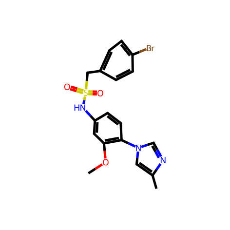 COc1cc(NS(=O)(=O)Cc2ccc(Br)cc2)ccc1-n1cnc(C)c1